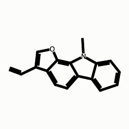 C=Cc1coc2c1ccc1c3ccccc3n(C)c12